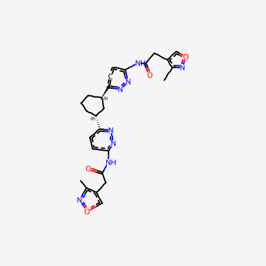 Cc1nocc1CC(=O)Nc1ccc([C@@H]2CCC[C@@H](c3ccc(NC(=O)Cc4conc4C)nn3)C2)nn1